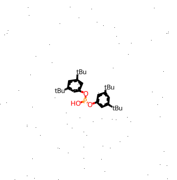 CC(C)(C)c1cc(OP(O)Oc2cc(C(C)(C)C)cc(C(C)(C)C)c2)cc(C(C)(C)C)c1